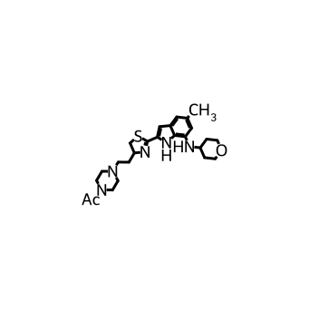 CC(=O)N1CCN(CCC2CSC(c3cc4cc(C)cc(NC5CCOCC5)c4[nH]3)=N2)CC1